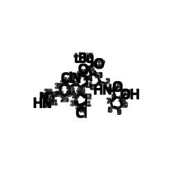 CC(CNC(=O)c1ccccc1O)Cc1c(C(=O)C(C)(C)C)oc2nc(-c3ccc(-c4cn[nH]c4)cc3Cl)c(-c3ccc(Cl)cc3)cc12